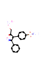 NS(=O)(=O)c1ccc(-c2c(-c3ccccc3)noc2CO[N+](=O)[O-])cc1